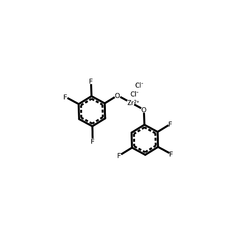 Fc1cc(F)c(F)c([O][Zr+2][O]c2cc(F)cc(F)c2F)c1.[Cl-].[Cl-]